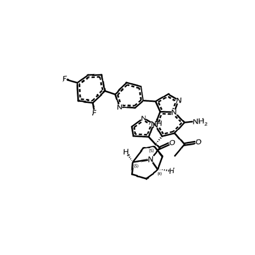 CC(=O)c1c([C@@H]2C[C@H]3CC[C@@H](C2)N3C(=O)c2ccn[nH]2)nc2c(-c3ccc(-c4ccc(F)cc4F)nc3)cnn2c1N